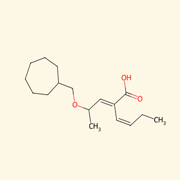 CC/C=C\C(=C/C(C)OCC1CCCCCC1)C(=O)O